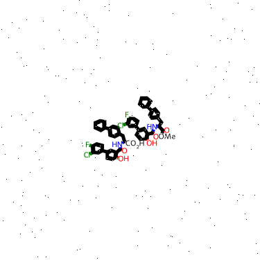 COC(=O)C(Cc1ccc(-c2ccccc2)cc1)NC(=O)c1cc(-c2ccc(F)c(Cl)c2)ccc1O.O=C(NC(Cc1ccc(-c2ccccc2)cc1)C(=O)O)c1cc(-c2ccc(F)c(Cl)c2)ccc1O